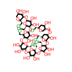 O[C@@H]1[C@@H](O)[C@@H](O[C@H]2[C@H](O)[C@@H](O)[C@@H](O[C@H]3[C@H](O)[C@@H](O)[C@@H](O[C@H]4[C@H](O)[C@@H](O)CO[C@@H]4CCl)O[C@@H]3CCl)O[C@@H]2CCl)O[C@H](CCl)[C@H]1O[C@H]1O[C@H](CCl)[C@@H](O[C@H]2O[C@H](CCl)[C@@H](O[C@H]3O[C@H](CCl)C[C@H](OO[C@H]4CO[C@H](CCl)C[C@@H]4O)[C@H]3O)[C@H](O)[C@H]2O)[C@H](O)[C@H]1O